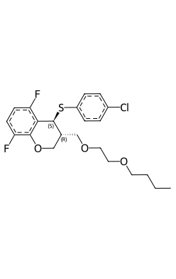 CCCCOCCOC[C@@H]1COc2c(F)ccc(F)c2[C@H]1Sc1ccc(Cl)cc1